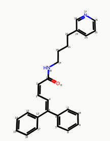 O=C(/C=C\C=C(c1ccccc1)c1ccccc1)NCCCCc1cccnc1